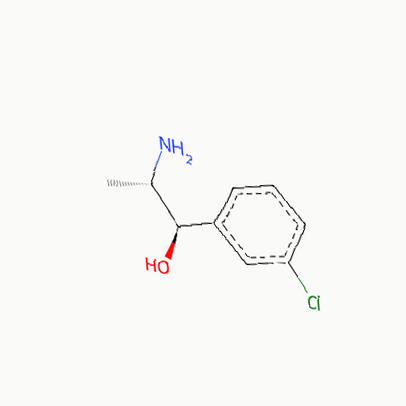 C[C@H](N)[C@H](O)c1cccc(Cl)c1